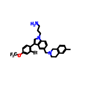 CCc1cc(OC(F)(F)F)ccc1-c1cn(CCCN)c2ccc(CN3CCc4cc(C)ccc4C3)cc12